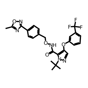 Cc1nc(-c2ccc(CONC(=O)c3c(Oc4cccc(C(F)(F)F)c4)cnn3C(C)(C)C)cc2)no1